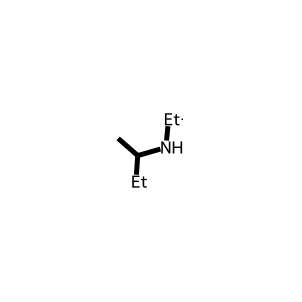 C[CH]NC(C)CC